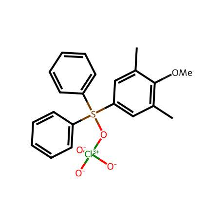 COc1c(C)cc(S(O[Cl+3]([O-])([O-])[O-])(c2ccccc2)c2ccccc2)cc1C